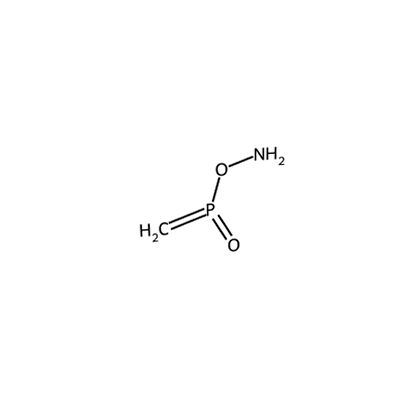 C=P(=O)ON